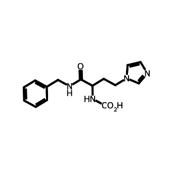 O=C(O)NC(CCn1ccnc1)C(=O)NCc1ccccc1